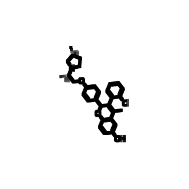 CC1=C(c2ccccc2Cl)C(c2ccc(OC[C@H](C)N3CC[C@@H](C)C3)cc2)Oc2ccc(O)cc21